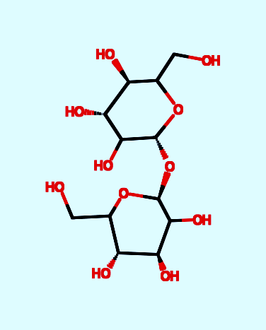 OCC1O[C@@H](O[C@H]2OC(CO)[C@H](O)[C@@H](O)C2O)C(O)[C@@H](O)[C@@H]1O